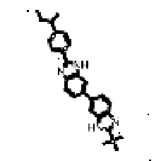 CCC(C)c1ccc(-c2nc3ccc(-c4ccc5nc(C(C)(C)C)[nH]c5c4)cc3[nH]2)cc1